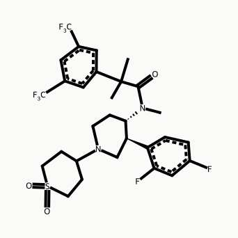 CN(C(=O)C(C)(C)c1cc(C(F)(F)F)cc(C(F)(F)F)c1)[C@H]1CCN(C2CCS(=O)(=O)CC2)C[C@@H]1c1ccc(F)cc1F